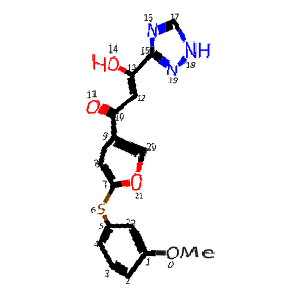 COc1cccc(Sc2cc(C(=O)C=C(O)c3nc[nH]n3)co2)c1